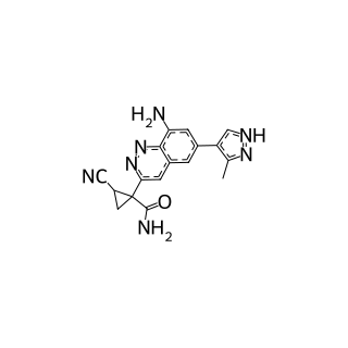 Cc1n[nH]cc1-c1cc(N)c2nnc(C3(C(N)=O)CC3C#N)cc2c1